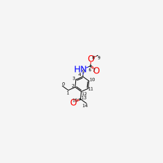 CCc1cc(NC(=O)OC)ccc1C(C)=O